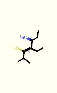 CCC(=N)/C(CC)=C(\S)C(C)C